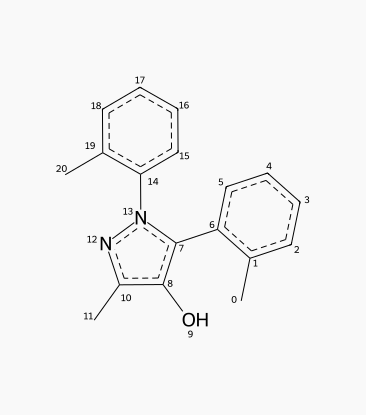 Cc1ccccc1-c1c(O)c(C)nn1-c1ccccc1C